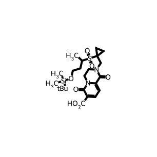 CC(CCO[Si](C)(C)C(C)(C)C)S(=O)(=O)C1(CN2CCn3c(ccc(C(=O)O)c3=O)C2=O)CC1